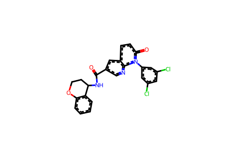 O=C(NC1CCOc2ccccc21)c1cnc2c(ccc(=O)n2-c2cc(Cl)cc(Cl)c2)c1